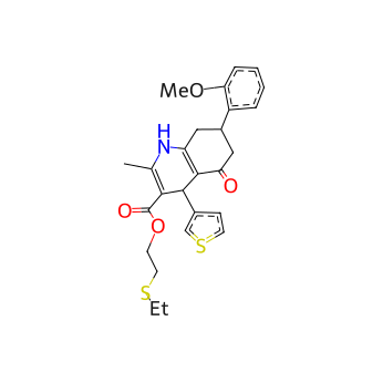 CCSCCOC(=O)C1=C(C)NC2=C(C(=O)CC(c3ccccc3OC)C2)C1c1ccsc1